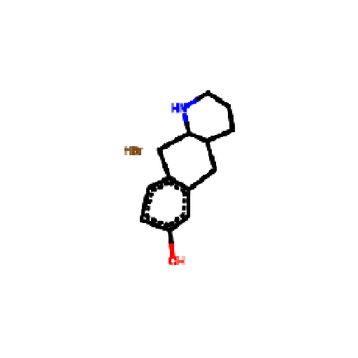 Br.Oc1ccc2c(c1)CC1CCCNC1C2